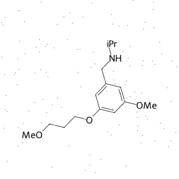 COCCCOc1cc(CNC(C)C)cc(OC)c1